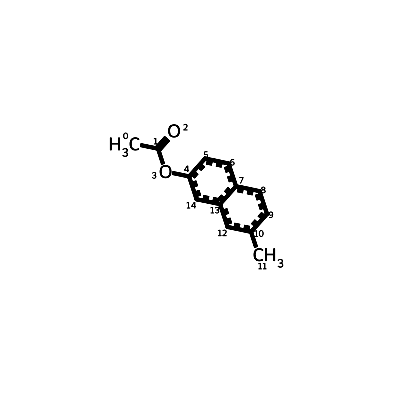 CC(=O)Oc1ccc2ccc(C)cc2c1